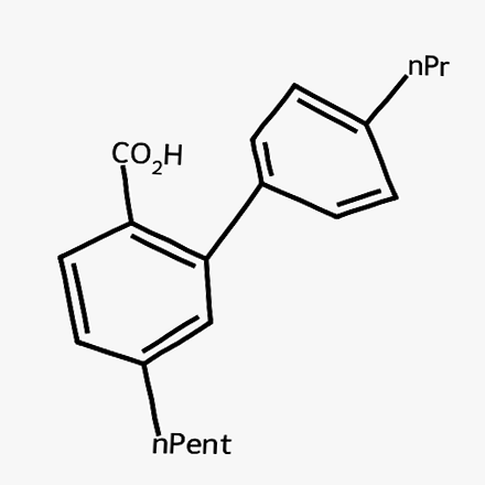 CCCCCc1ccc(C(=O)O)c(-c2ccc(CCC)cc2)c1